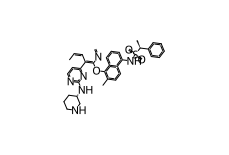 C=N/C(Oc1c(C)ccc2c(NS(=O)(=O)[C@@H](C)c3ccccc3)cccc12)=C(\C=C/C)c1ccnc(N[C@H]2CCCNC2)n1